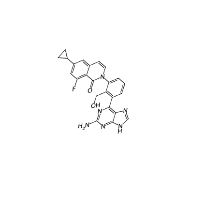 Nc1nc(-c2cccc(-n3ccc4cc(C5CC5)cc(F)c4c3=O)c2CO)c2nc[nH]c2n1